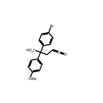 COc1ccc(C(CC=C=O)(C(=O)O)c2ccc(Br)cc2)cc1